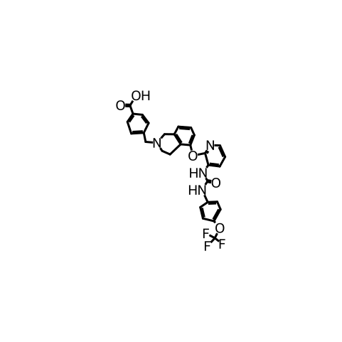 O=C(Nc1ccc(OC(F)(F)F)cc1)Nc1cccnc1Oc1cccc2c1CCN(Cc1ccc(C(=O)O)cc1)C2